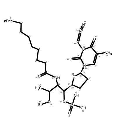 CCCCCCCCCCCCCCCCCC(=O)NC(C(C)OCC)C(OP(=O)(O)O)[C@@H]1CC[C@H](n2cc(C)c(=O)n(N=[N+]=[N-])c2=O)O1